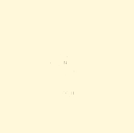 O=C(O)c1ccc2c(c1)C(=O)N(C(c1ccccc1)(c1ccccc1)c1ccccc1)C2=O